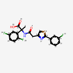 CC(NC(=O)Cc1csc(-c2cccc(F)c2)n1)(C(=O)O)c1cc(F)ccc1F